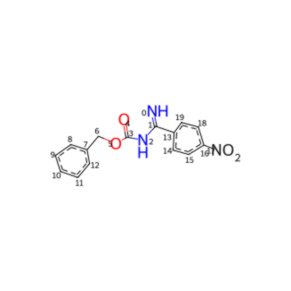 N=C(NC(=O)OCc1ccccc1)c1ccc([N+](=O)[O-])cc1